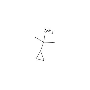 CC(C)([AsH2])C1CC1